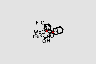 COC(=O)C(NC(=O)OC(C)(C)C)C1CC2CCCC(C1)N2C(=O)c1ccc(C(F)(F)F)cc1